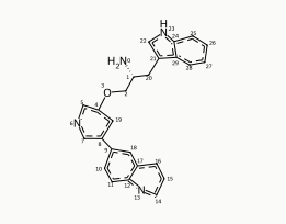 N[C@@H](COc1cncc(-c2ccc3ncccc3c2)c1)Cc1c[nH]c2ccccc12